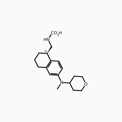 CN(c1ccc2c(c1)CCC[C@H]2CNC(=O)O)C1CCOCC1